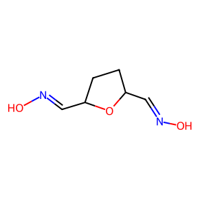 ON=CC1CCC(C=NO)O1